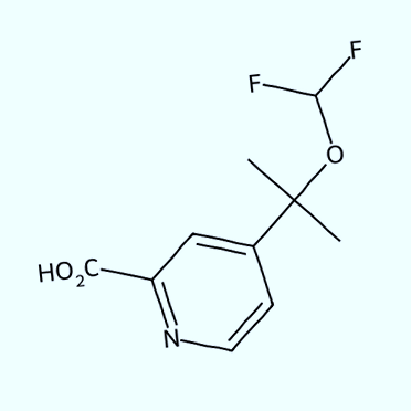 CC(C)(OC(F)F)c1ccnc(C(=O)O)c1